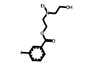 CCN(CCO)CCOC(=O)c1cccc(I)c1